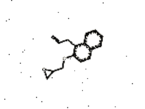 C=CCc1c(OCC2CO2)ccc2ccccc12